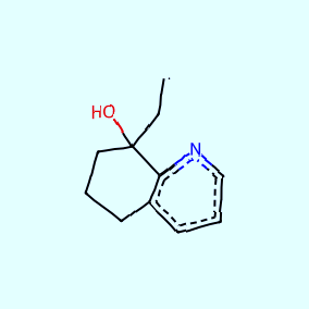 [CH2]CC1(O)CCCc2cccnc21